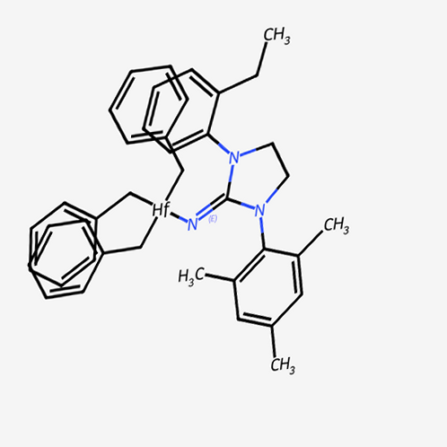 CCc1ccccc1N1CCN(c2c(C)cc(C)cc2C)/C1=[N]/[Hf]([CH2]c1ccccc1)([CH2]c1ccccc1)[CH2]c1ccccc1